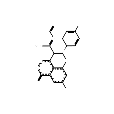 CN/C(=N\C=N)C1c2n[nH]c(=O)c3cc(F)cc(c23)N[C@@H]1C1C=CC(F)=CC1